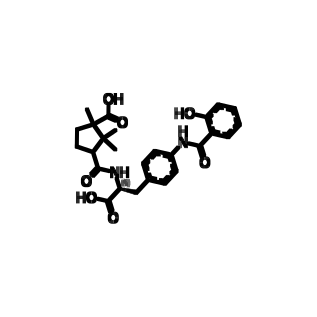 CC1(C(=O)O)CCC(C(=O)N[C@@H](Cc2ccc(NC(=O)c3ccccc3O)cc2)C(=O)O)C1(C)C